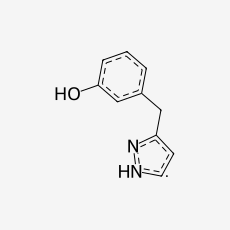 Oc1cccc(Cc2c[c][nH]n2)c1